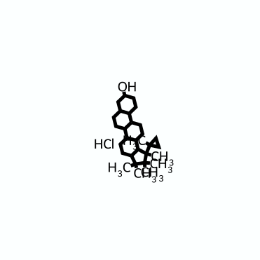 CC1(C2(C)C3C4CCC5C6CCC(O)CC6CCC5C4CCC3C(C)(C)C2(C)C)CC1.Cl